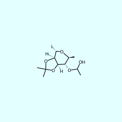 CC(O)O[C@@H]1[C@H]2OC(C)(C)O[C@H]2[C@H](I)O[C@H]1C